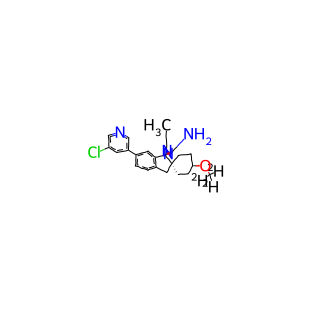 [2H]C([2H])([2H])O[C@H]1CC[C@]2(CC1)Cc1ccc(-c3cncc(Cl)c3)cc1C21N=C(C)C(N)=N1